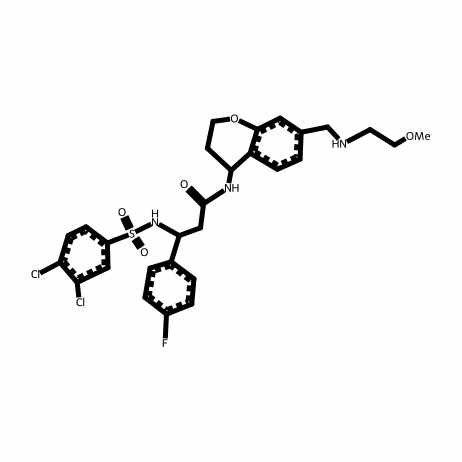 COCCNCc1ccc2c(c1)OCCC2NC(=O)CC(NS(=O)(=O)c1ccc(Cl)c(Cl)c1)c1ccc(F)cc1